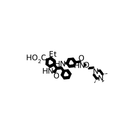 CCc1cc2c(cc1C(=O)O)NC(=O)C2=C(Nc1ccc(C(=O)NOCCN2C[C@@H](C)N(C)[C@@H](C)C2)cc1)c1ccccc1